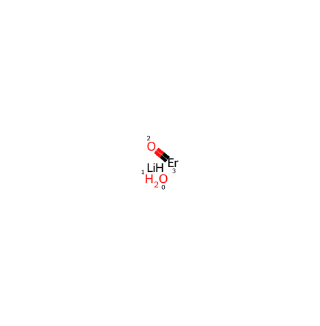 O.[LiH].[O]=[Er]